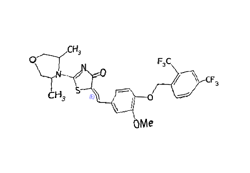 COc1cc(/C=C2/SC(N3C(C)COCC3C)=NC2=O)ccc1OCc1ccc(C(F)(F)F)cc1C(F)(F)F